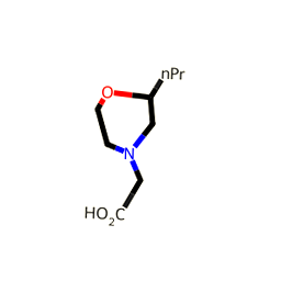 CCCC1CN(CC(=O)O)CCO1